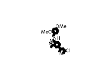 COc1ccc(CNc2nnc(C)c3cc(-c4cncc(Cl)c4)ccc23)c(OC)c1